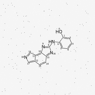 Oc1ccccc1NC1=Nc2c3c(ccc2=N1)=CN=C3